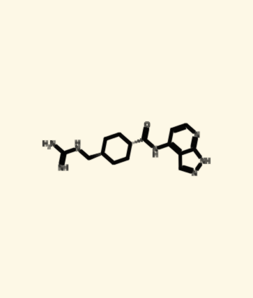 N=C(N)NC[C@H]1CC[C@H](C(=O)Nc2ccnc3[nH]ncc23)CC1